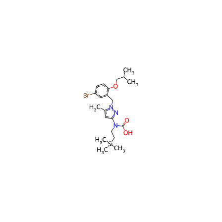 Cc1cc(N(CC[Si](C)(C)C)C(=O)O)nn1Cc1cc(Br)ccc1OCC(C)C